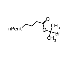 CCCCCCCCC(=O)OC(C)(C)Br